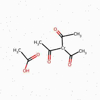 CC(=O)O.C[C](=O)[Cr]([C](C)=O)[C](C)=O